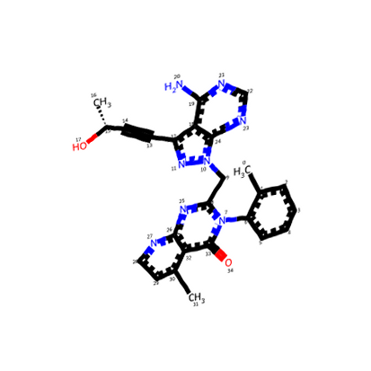 Cc1ccccc1-n1c(Cn2nc(C#C[C@@H](C)O)c3c(N)ncnc32)nc2nccc(C)c2c1=O